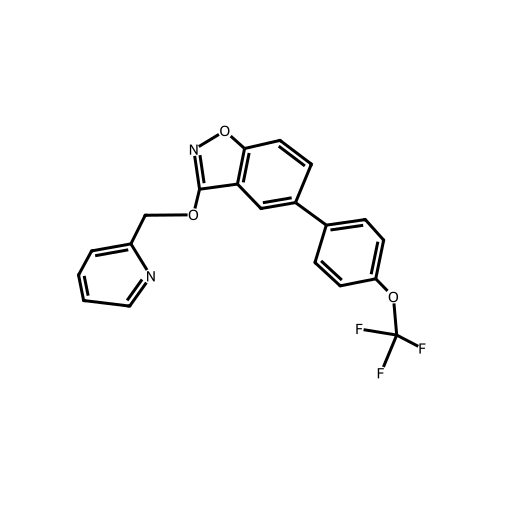 FC(F)(F)Oc1ccc(-c2ccc3onc(OCc4ccccn4)c3c2)cc1